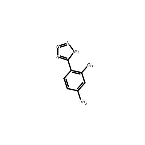 Nc1ccc(-c2nnn[nH]2)c(O)c1